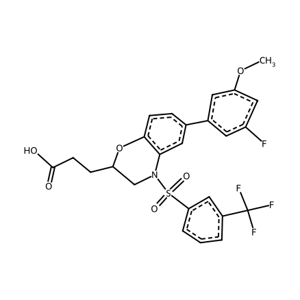 COc1cc(F)cc(-c2ccc3c(c2)N(S(=O)(=O)c2cccc(C(F)(F)F)c2)CC(CCC(=O)O)O3)c1